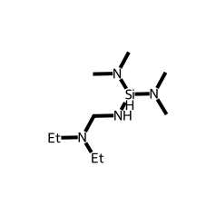 CCN(CC)CN[SiH](N(C)C)N(C)C